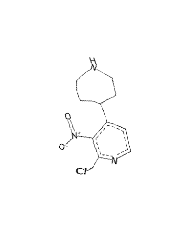 O=[N+]([O-])c1c(C2CCNCC2)ccnc1Cl